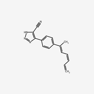 C=C/C=C\C=C(/C)c1ccc(-c2nn[nH]c2C#N)cc1